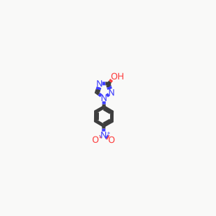 O=[N+]([O-])c1ccc(-n2cnc(O)n2)cc1